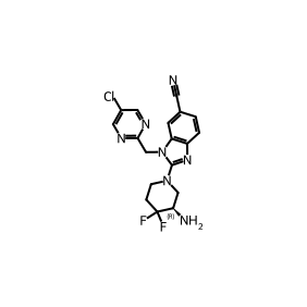 N#Cc1ccc2nc(N3CCC(F)(F)[C@H](N)C3)n(Cc3ncc(Cl)cn3)c2c1